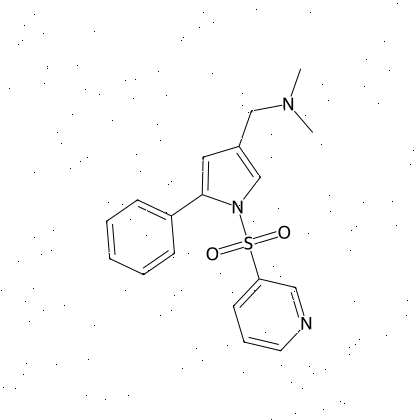 CN(C)Cc1cc(-c2ccccc2)n(S(=O)(=O)c2cccnc2)c1